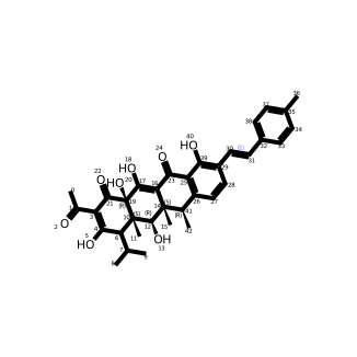 CC(=O)C1=C(O)C(C(C)C)[C@@]2(C)[C@H](O)[C@]3(C)C(=C(O)[C@@]2(O)C1=O)C(=O)c1c(ccc(/C=C/c2ccc(C)cc2)c1O)[C@H]3C